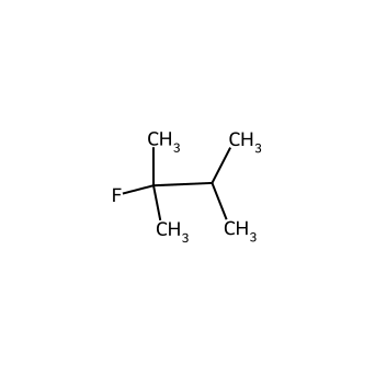 CC(C)C(C)(C)F